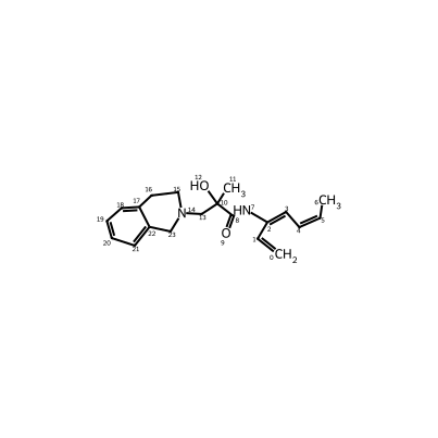 C=C/C(=C\C=C/C)NC(=O)C(C)(O)CN1CCc2ccccc2C1